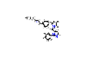 O=C(O)/C=C/Cc1ccc([C@@H]2CCCN2Cc2ccnn2-c2ccccc2)cc1